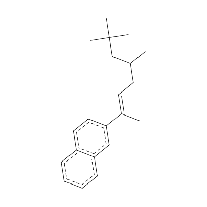 CC(=CCC(C)CC(C)(C)C)c1ccc2ccccc2c1